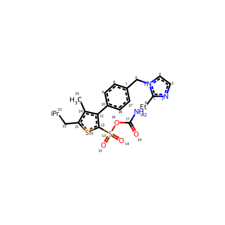 CCc1nccn1Cc1ccc(-c2c(S(=O)(=O)OC(N)=O)sc(CC(C)C)c2C)cc1